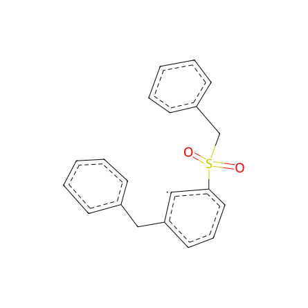 O=S(=O)(Cc1ccccc1)c1[c]c(Cc2ccccc2)ccc1